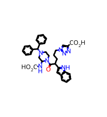 O=C(O)NC1CN(C(c2ccccc2)c2ccccc2)CCN1C(=O)C(CCCn1cc(C(=O)O)nn1)c1cc2ccccc2[nH]1